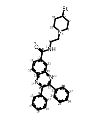 CCC1CCN(CCNC(=O)c2ccc3nc(-c4ccccc4)c(-c4ccccc4)nc3c2)CC1